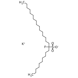 CCCCCCCCCCCCCCCCC(F)(CCCCCCCCCC)S(=O)(=O)[O-].[K+]